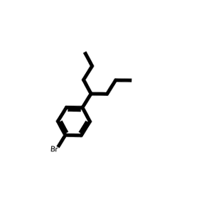 CCCC(CCC)c1ccc(Br)cc1